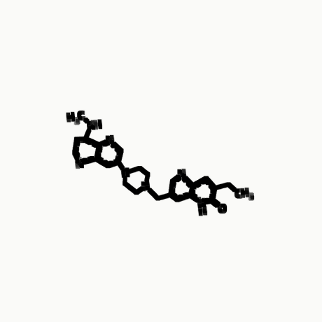 CCc1cc2ncc(CN3CCN(c4cnc5c(NC)ccnc5c4)CC3)cc2[nH]c1=O